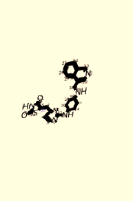 O=C1NC(=O)/C(=C/c2ccnc(NC3CCC(NCc4cncc5ccccc45)CC3)n2)S1